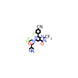 Cn1cc(C2CN(c3cc4c(=O)n(C)c(C(F)(F)F)nc4c(-c4ccc(C#N)cc4F)n3)CC(F)(F)O2)cn1